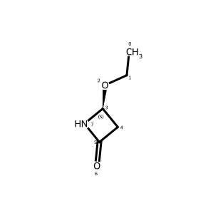 CCO[C@H]1CC(=O)N1